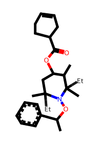 CCC1(C)CC(OC(=O)C2CC=CCC2)C(C)C(C)(CC)N1OC(C)c1ccccc1